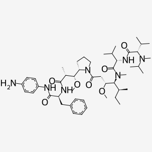 CC[C@H](C)[C@@H]([C@@H](CC(=O)N1CCC[C@H]1[C@H](OC)[C@@H](C)C(=O)N[C@@H](Cc1ccccc1)C(=O)Nc1ccc(N)cc1)OC)N(C)C(=O)[C@@H](NC(=O)[C@H](C(C)C)N(C)C(C)C)C(C)C